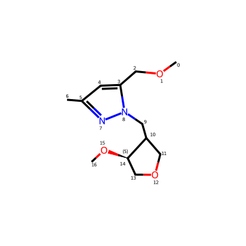 COCc1cc(C)nn1CC1COC[C@H]1OC